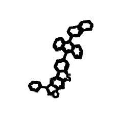 C1=C(c2c3ccccc3c(-c3ccc4ccccc4c3)c3ccccc23)C=C2Sc3cc4c(cc3C2C1)C(c1ccccc1)CO4